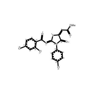 COC(=O)C=C1SC(=NC(=O)c2ccc(Cl)cc2Cl)N(c2ccc(Cl)cc2)C1=O